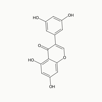 O=c1c(-c2cc(O)cc(O)c2)coc2cc(O)cc(O)c12